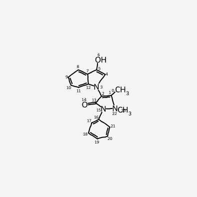 Cc1c(-n2cc(O)c3ccccc32)c(=O)n(-c2ccccc2)n1C